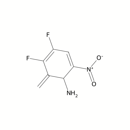 C=C1C(F)=C(F)C=C([N+](=O)[O-])C1N